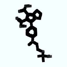 COC(=O)c1c(C(=O)OC)c(-c2ccc(N(C)CCO[Si](C)(C)C(C)(C)C)cc2)n2c1CCC2